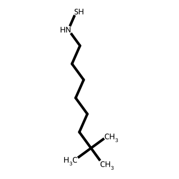 CC(C)(C)CCCCCCNS